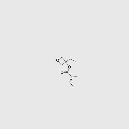 C/C=C(\C)C(=O)OC1(CC)COC1